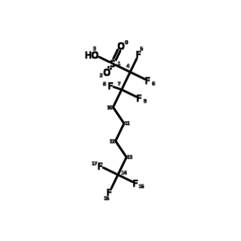 O=S(=O)(O)C(F)(F)C(F)(F)CCCCC(F)(F)F